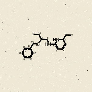 CCC1C=CC=C(NCC(CC)OCc2ccccc2)N1